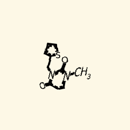 Cn1ccc(=O)n(Cc2cccs2)c1=O